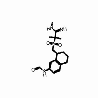 CNC(=N)C(C)(C)S(=O)(=O)CC1CCCc2ccc(NC=O)cc21